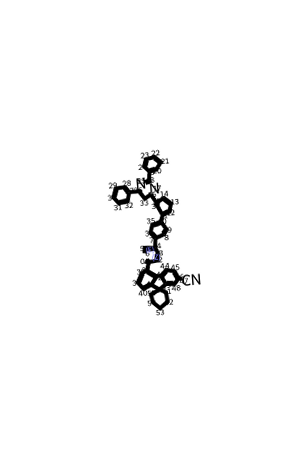 C=C(/C=C\C(=C/C)c1ccc(-c2cccc(C3=NC(c4ccccc4)=NC(c4ccccc4)C3)c2)cc1)c1cccc2c1-c1ccc(C#N)cc1C21CCCCC1